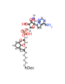 CCCCCCCCCCCCCCCCCCOC[C@H](COP(=O)(O)OC[C@H]1O[C@@](C=NC)(c2ccc3c(N)ncnn23)[C@H](O)[C@@H]1O)Oc1cccc(C#N)c1